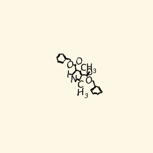 Cc1nc(I)c(C(=O)OCc2ccccc2)c(C)c1C(=O)OCc1ccccc1